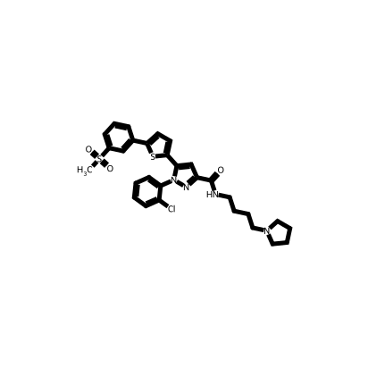 CS(=O)(=O)c1cccc(-c2ccc(-c3cc(C(=O)NCCCCN4CCCC4)nn3-c3ccccc3Cl)s2)c1